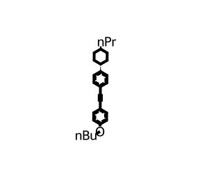 CCCCOc1ccc(C#Cc2ccc([C@H]3CC[C@H](CCC)CC3)cc2)cc1